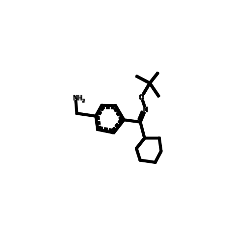 CC(C)(C)O/N=C(\c1ccc(CN)cc1)C1CCCCC1